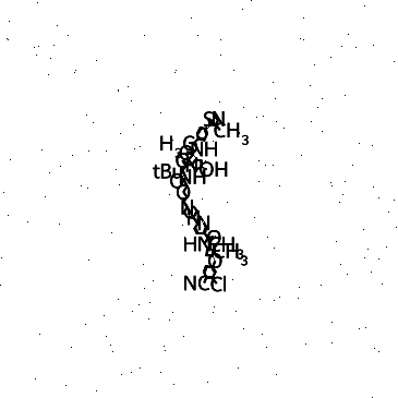 Cc1ncsc1-c1ccc([C@H](C)NC(=O)[C@@H]2C[C@@H](O)CN2C(=O)C(NC(=O)COCCN2CCN(c3ccc(C(=O)N[C@H]4C[C@@H](Oc5ccc(C#N)c(Cl)c5)C4(C)C)cn3)CC2)C(C)(C)C)cc1